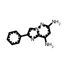 Nc1cc(N)c2nc(-c3ccccc3)cn2n1